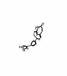 O=C1C=CC2=CN=C(c3ccc(-c4nn[nH]n4)cc3)N3CCC(=C23)N1